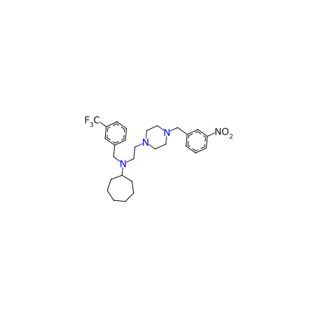 O=[N+]([O-])c1cccc(CN2CCN(CCN(Cc3cccc(C(F)(F)F)c3)C3CCCCCC3)CC2)c1